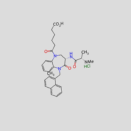 CN[C@@H](C)C(=O)N[C@H]1CN(C(=O)CCCCC(=O)O)c2ccccc2N(Cc2c(C)ccc3ccccc23)C1=O.Cl